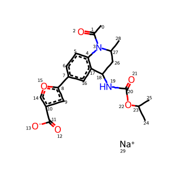 CC(=O)N1c2ccc(-c3cc(C(=O)[O-])co3)cc2C(NC(=O)OC(C)C)CC1C.[Na+]